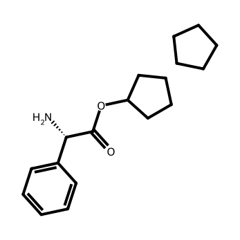 C1CCCC1.N[C@H](C(=O)OC1CCCC1)c1ccccc1